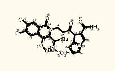 CCCCOc1c(C(NC(=O)O)C(C)(C)C)n(CCC(=O)C2C(C(N)=O)=Cn3cccc32)c(=O)c2cc(Cl)c(Cl)cc12